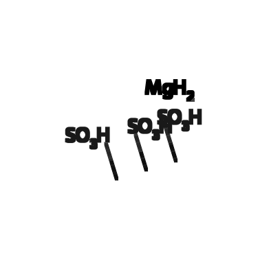 CS(=O)(=O)O.CS(=O)(=O)O.CS(=O)(=O)O.[MgH2]